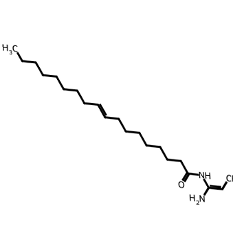 CC=C(N)NC(=O)CCCCCCCC=CCCCCCCCC